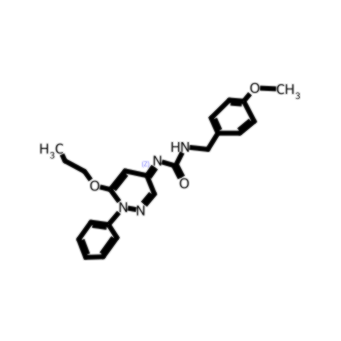 CCCOc1c/c(=N/C(=O)NCc2ccc(OC)cc2)cnn1-c1ccccc1